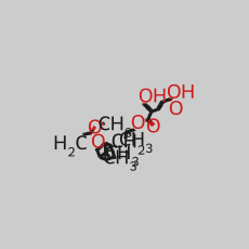 C=C1CCC2CC1C2(C)C.C=CC(=O)OC.CCCOC(=O)C(C=CC(=O)O)=CO